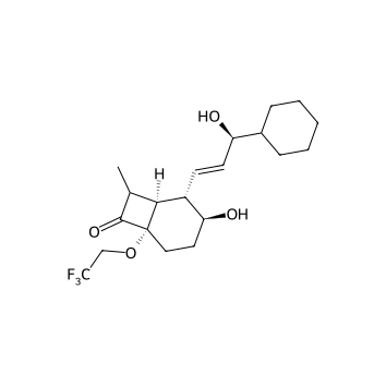 CC1C(=O)[C@]2(OCC(F)(F)F)CC[C@H](O)[C@@H](/C=C/[C@@H](O)C3CCCCC3)[C@H]12